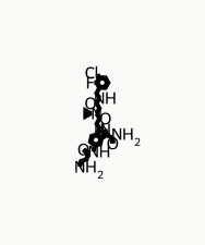 NCCC(=O)Nc1ccc2c(c1)c(C(N)=O)nn2CC(=O)N(CC(=O)NCc1cccc(Cl)c1F)C1CC1